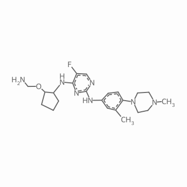 Cc1cc(Nc2ncc(F)c(NC3CCCC3OCN)n2)ccc1N1CCN(C)CC1